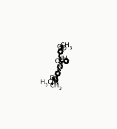 CC(C)n1ncn(-c2ccc(N3CCN(C(C(=O)NCc4ccc(S(C)(=O)=O)cc4)c4ccccc4)CC3)cc2)c1=O